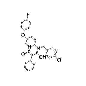 O=c1c(-c2ccccc2)c(O)[n+](Cc2ccc(Cl)nc2)c2ccc(Oc3ccc(F)cc3)cn12